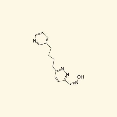 O/N=C\c1ccc(CCCCc2cccnc2)nn1